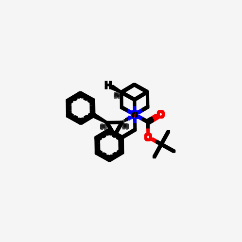 CC(C)(C)OC(=O)N(C1C2C[C@H]1CN(Cc1ccccc1)C2)[C@@H]1C[C@H]1c1ccccc1